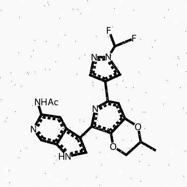 CC(=O)Nc1cc2c(-c3nc(-c4cnn(C(F)F)c4)cc4c3OCC(C)O4)c[nH]c2cn1